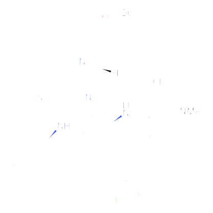 CCO[C@@H]1C[C@@H]2CN(C(=O)[C@@H](NC(=O)[C@H](C)NC)C3CCC(F)(F)CC3)[C@H](C(=O)N[C@@H]3CCOc4ccccc43)CN2C1